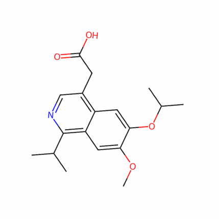 COc1cc2c(C(C)C)ncc(CC(=O)O)c2cc1OC(C)C